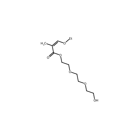 CCOC=C(C)C(=O)OCCOCCOCCO